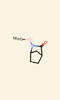 COBN1C(=O)C2CCC1C2